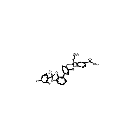 CCC1(c2ccc(Cl)cc2F)Oc2cccc(-c3cc(F)c(Cc4nc5ccc(C(=O)OC)cc5n4CCOC)c(F)c3)c2O1